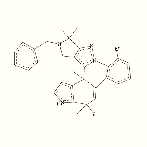 CCc1cccc2c1-n1nc3c(c1C1(C)C2=CC(C)(F)c2[nH]ccc21)CN(Cc1ccccc1)C3(C)C